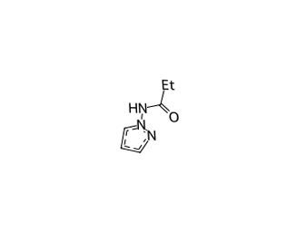 CCC(=O)Nn1cccn1